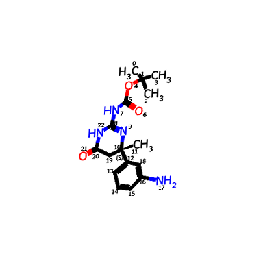 CC(C)(C)OC(=O)NC1=N[C@](C)(c2cccc(N)c2)CC(=O)N1